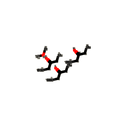 CC(C)(C)CC(=O)CC(=O)[O-].CC(C)(C)CC(=O)CC(=O)[O-].CC(C)(C)CC(=O)CC(=O)[O-].CC[O][Ti+3]